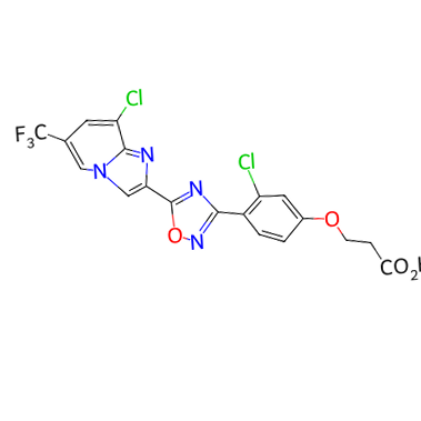 O=C(O)CCOc1ccc(-c2noc(-c3cn4cc(C(F)(F)F)cc(Cl)c4n3)n2)c(Cl)c1